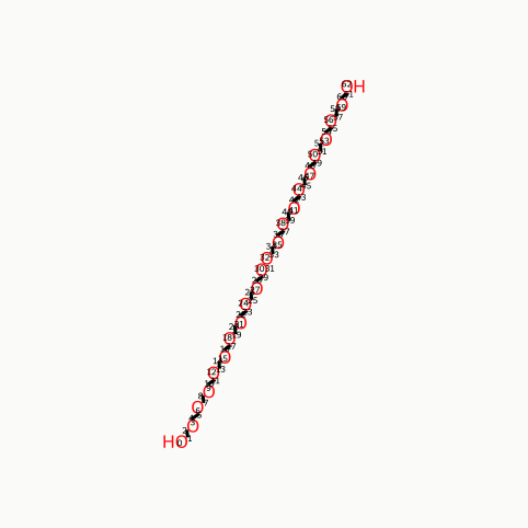 OCCOCCOCCOCCOCCOCCOCCOCCOCCOCCOCOCCOCCOCCOCCOCCOCCOCCOCCOCCOCCO